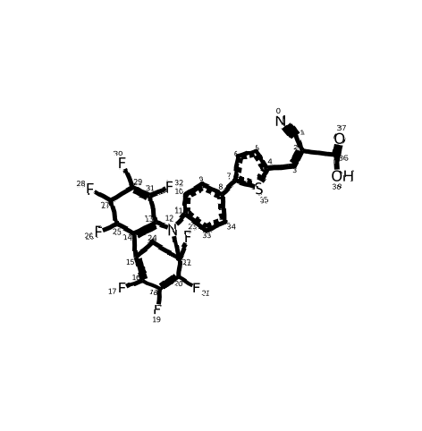 N#C/C(=C\c1ccc(-c2ccc(N3C4=C(C5=C(F)C(F)=C(F)C3(F)C5)C(F)C(F)C(F)=C4F)cc2)s1)C(=O)O